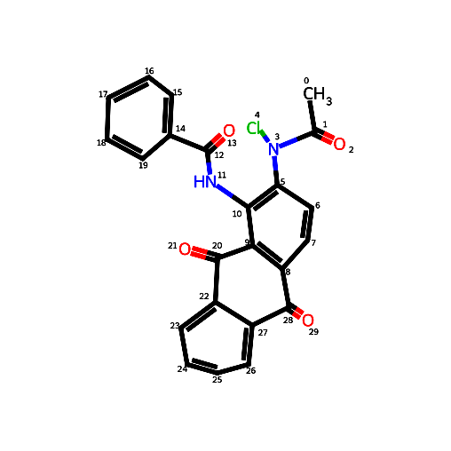 CC(=O)N(Cl)c1ccc2c(c1NC(=O)c1ccccc1)C(=O)c1ccccc1C2=O